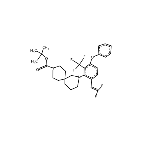 CC(C)(C)OC(=O)N1CCC2(CCCN(c3c(C=C(F)F)ccc(Oc4ccccc4)c3C(F)(F)F)C2)CC1